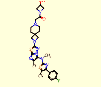 CCc1nc2sc(N3CC4(CCN(CC(=O)N5CC(O)C5)CC4)C3)nn2c1N(C)c1nc(-c2ccc(F)cc2)c(C#N)s1